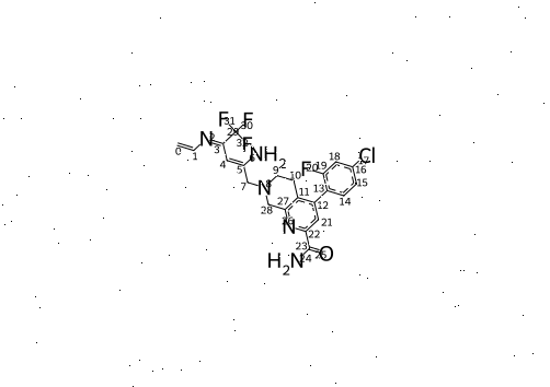 C=C/N=C(\C=C(/N)CN1CCc2c(-c3ccc(Cl)cc3F)cc(C(N)=O)nc2C1)C(F)(F)F